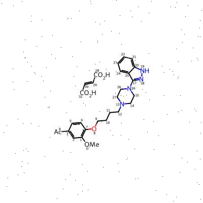 COc1cc(C(C)=O)ccc1OCCCCN1CCN(c2n[nH]c3ccccc23)CC1.O=C(O)C=CC(=O)O